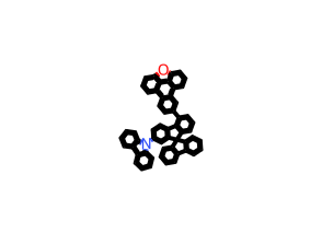 c1ccc2c(c1)-c1ccccc1C21c2cc(-n3c4ccccc4c4ccccc43)ccc2-c2c(-c3ccc4c(c3)c3cccc5oc6cccc4c6c53)cccc21